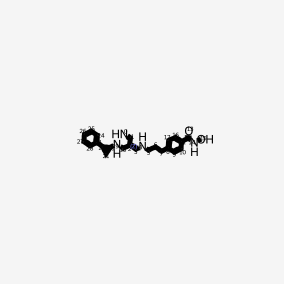 N=C/C(=C\NCCCc1ccc(C(=O)NO)cc1)CNC1CC1c1ccccc1